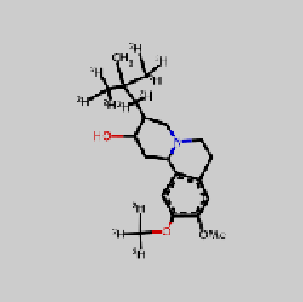 [2H]C([2H])([2H])Oc1cc2c(cc1OC)CCN1CC(C([2H])([2H])C(C)(C([2H])([2H])[2H])C([2H])([2H])[2H])C(O)CC21